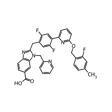 Cc1ccc(COc2cccc(-c3cc(F)c(Cc4nc5ccc(C(=O)O)cc5n4Cc4ccccn4)cc3F)n2)c(F)c1